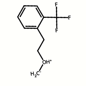 [CH2-][OH+]CCc1ccccc1C(F)(F)F